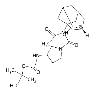 CC(=O)NC12CC3CC(C1)C(OC(=O)N1CCC(NC(=O)OC(C)(C)C)C1)[C@H](C3)C2